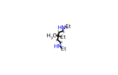 CCNCCC(C)(CC)CCNCC